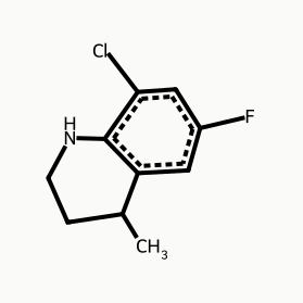 CC1CCNc2c(Cl)cc(F)cc21